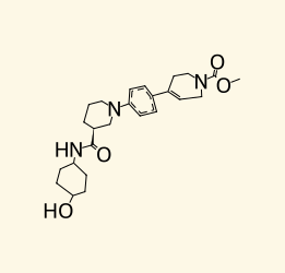 COC(=O)N1CC=C(c2ccc(N3CCC[C@H](C(=O)NC4CCC(O)CC4)C3)cc2)CC1